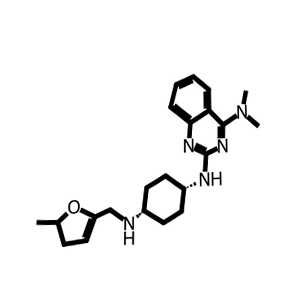 CC1CC=C(CN[C@H]2CC[C@@H](Nc3nc(N(C)C)c4ccccc4n3)CC2)O1